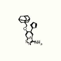 Nc1nnc2cc(OCC34CC5CC(CC(C5)C3)C4)c(C3=C=CC=C3)cn12